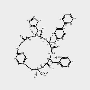 O=C1COc2ccc(cc2)C[C@H](C(=O)O)NC(=O)[C@H](Cc2ccccc2)NC(=O)[C@@H](Cc2ccc(-c3ccccc3)cc2)NC(=O)[C@H](Cc2cccs2)N1